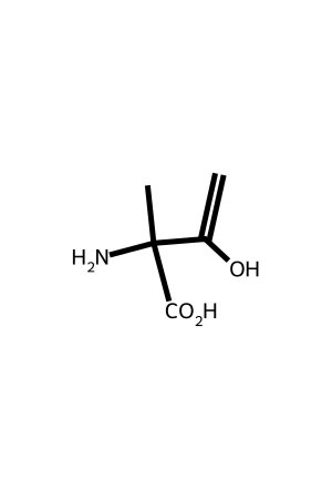 C=C(O)C(C)(N)C(=O)O